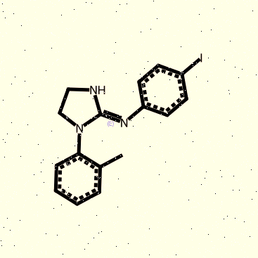 Cc1ccccc1N1CCN/C1=N\c1ccc(I)cc1